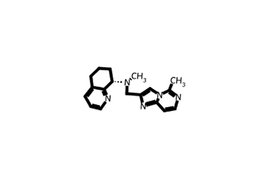 Cc1nccc2nc(CN(C)[C@H]3CCCc4cccnc43)cn12